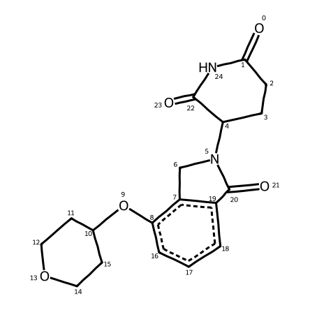 O=C1CCC(N2Cc3c(OC4CCOCC4)cccc3C2=O)C(=O)N1